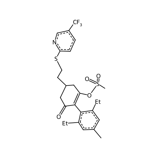 CCc1cc(C)cc(CC)c1C1=C(OS(C)(=O)=O)CC(CCSc2ccc(C(F)(F)F)cn2)CC1=O